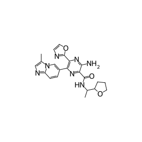 Cc1cnc2ccc(-c3nc(C(=O)NC(C)C4CCCO4)c(N)nc3-c3ncco3)cn12